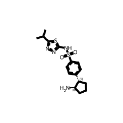 CC(C)c1nnc(NS(=O)(=O)c2ccc([C@@H]3CCC[C@H]3N)cc2)s1